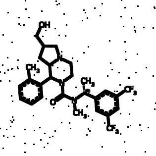 Cc1ccccc1C1C2CC(CO)CN2CCN1C(=O)N(C)[C@H](C)c1cc(C(F)(F)F)cc(C(F)(F)F)c1